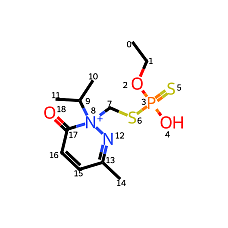 CCOP(O)(=S)SC[N+]1(C(C)C)N=C(C)C=CC1=O